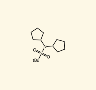 CC(C)(C)S(=O)(=O)N(C1CCCC1)C1CCCC1